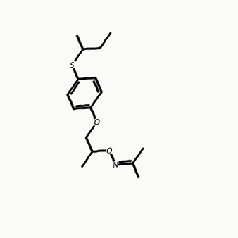 CCC(C)Sc1ccc(OCC(C)ON=C(C)C)cc1